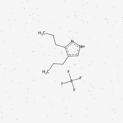 CCCc1c[nH]nc1CCC.F[B-](F)(F)F